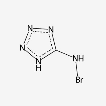 BrNc1nnn[nH]1